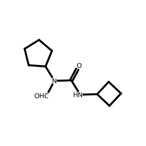 O=CN(C(=O)NC1CCC1)C1CCCC1